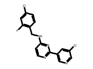 Fc1cc(Cl)ccc1CNc1ccnc(-c2cncc(Cl)c2)n1